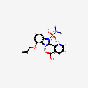 C=CCOc1cccc2c1nc(-c1ncccc1C(=O)O)n2S(=O)(=O)N(C)C